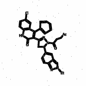 CCn1cc2cc(C3CC(c4c(-c5ccccc5)c5cc(Cl)ccc5[nH]c4=O)=NN3C(=O)CCC(C)=O)ccc2n1